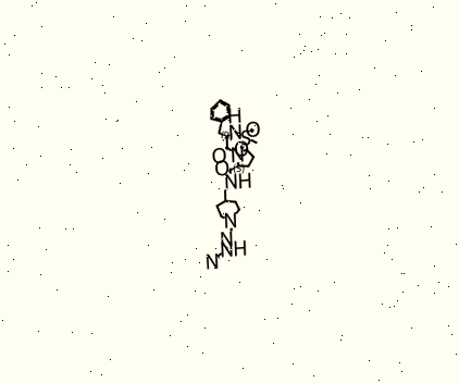 CS(=O)(=O)N[C@H](Cc1ccccc1)C(=O)N1CCC[C@H]1C(=O)NCC1CCN(C=NNC#N)CC1